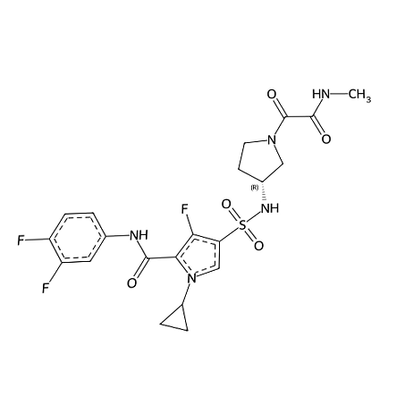 CNC(=O)C(=O)N1CC[C@@H](NS(=O)(=O)c2cn(C3CC3)c(C(=O)Nc3ccc(F)c(F)c3)c2F)C1